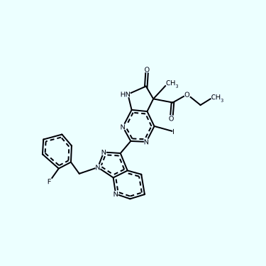 CCOC(=O)C1(C)C(=O)Nc2nc(-c3nn(Cc4ccccc4F)c4ncccc34)nc(I)c21